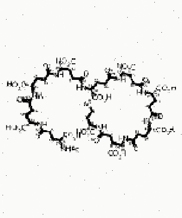 CC(=O)CC[C@H](NC(=O)CC[C@H](NC(=O)CC[C@H](NC(=O)CC[C@H](NC(=O)CC[C@H](NC(=O)CC[C@H](NC(=O)CC[C@H](NC(=O)CC[C@H](NC(=O)CC[C@H](NC(=O)CC[C@H](NC(C)=O)C(=O)O)C(=O)O)C(=O)O)C(=O)O)C(=O)O)C(=O)O)C(=O)O)C(=O)O)C(=O)O)C(=O)O